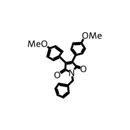 COc1ccc(C2=C(c3ccc(OC)cc3)C(=O)N(Cc3ccccc3)C2=O)cc1